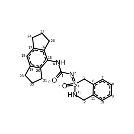 O=C(N=S1(=O)Cc2ccccc2CN1)Nc1c2c(cc3c1CCC3)CCC2